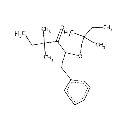 CCC(C)(C)OC(Cc1ccccc1)C(=O)C(C)(C)CC